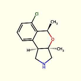 C[C@H]1O[C@@]2(C)CNC[C@H]2c2cccc(Cl)c21